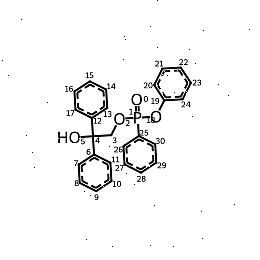 O=P(OCC(O)(c1ccccc1)c1ccccc1)(Oc1ccccc1)c1ccccc1